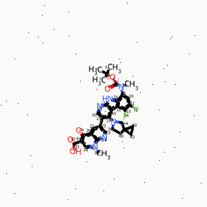 CN(C(=O)OC(C)(C)C)c1cc(F)c(F)c2c1[nH]c1ncc(-c3cnc4c(c3)c(=O)c(C(=O)O)cn4C)c(N3CCC4(CC4)C3)c12